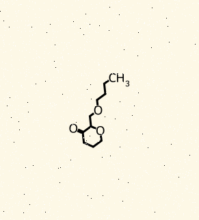 CCCCOCC1OCCCC1=O